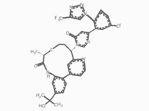 C[C@@H]1CCC[C@H](n2cnc(-c3cc(Cl)ccc3-n3cc(C(F)(F)F)nn3)cc2=O)c2cc(ccn2)-c2ccc(C(C)(C)O)cc2NC1=O